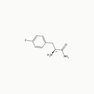 NC(=O)[C@@H](N)Cc1ccc(F)cc1